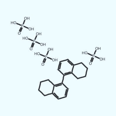 O=P(O)(O)O.O=P(O)(O)O.O=P(O)(O)O.O=P(O)(O)O.[c]1ccc2c(c1-c1[c]ccc3c1CCCC3)CCCC2